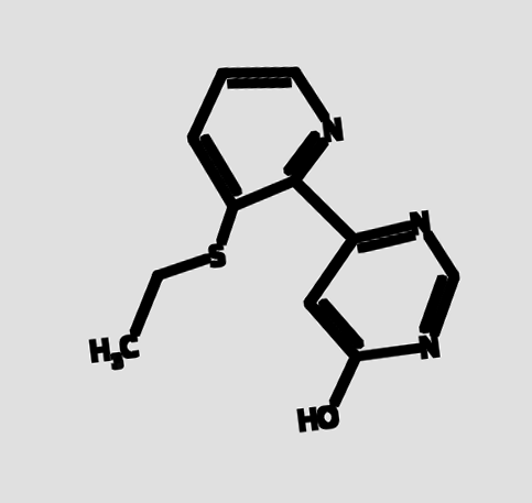 CCSc1cccnc1-c1cc(O)ncn1